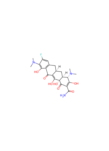 CN(C)c1c(F)cc2c(c1O)C(=O)C1=C(O)[C@]3(O)C(=O)C(C(N)=O)=C(O)[C@@H](N(C)C)[C@@H]3C[C@@H]1C2